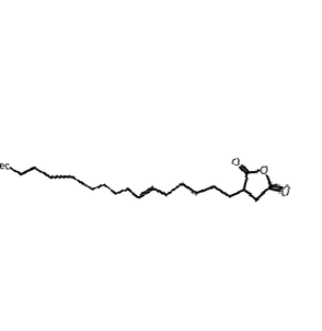 CCCCCCCCCCCCCCCCCCC=CCCCCCC1CC(=O)OC1=O